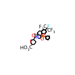 O=C(O)C12CCC(C(=O)N3CC[C@]4(S(=O)(=O)c5ccccc5)c5ccc(C(F)(C(F)(F)F)C(F)(F)F)cc5CC[C@H]34)(CC1)CC2